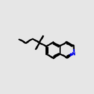 CCCC(C)(C)c1ccc2cnccc2c1